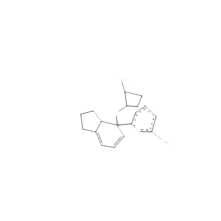 Nc1cccc(C2(OC3CCC3N)C=CC=C3CCCC32)n1